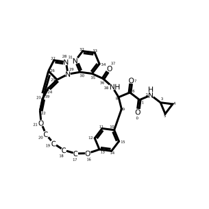 O=C(NC1CC1)C(=O)C1Cc2ccc(cc2)OCCCCOc2ccc3c(cnn3-c3ncccc3C(=O)N1)c2